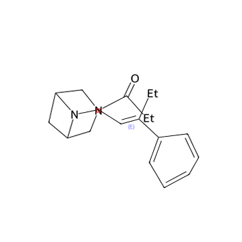 CCC(=O)N1CC2CC(C1)N2C/C=C(\CC)c1ccccc1